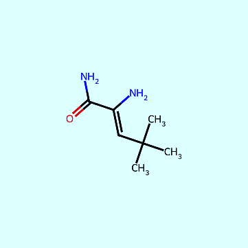 CC(C)(C)/C=C(\N)C(N)=O